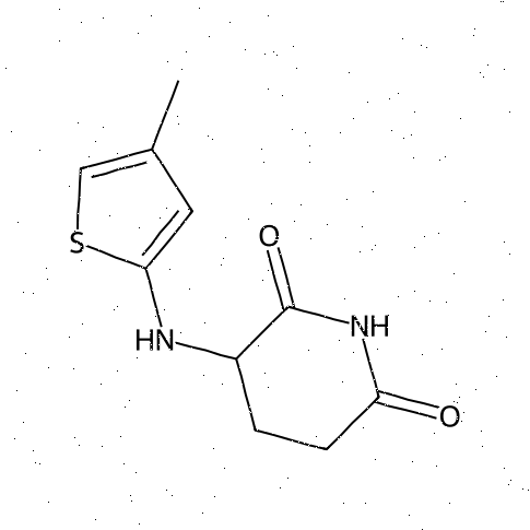 Cc1csc(NC2CCC(=O)NC2=O)c1